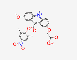 COc1ccc2c(c1)c(C(=O)Oc1c(C)cc([N+](=O)[O-])cc1C)c1cc(OCC(=O)O)ccc1[n+]2C